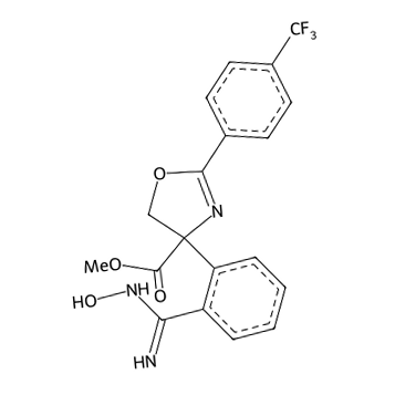 COC(=O)C1(c2ccccc2C(=N)NO)COC(c2ccc(C(F)(F)F)cc2)=N1